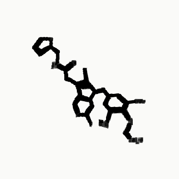 COc1cc(/C=C2/C(C)=C(CC(=O)NCc3ccco3)c3cnc(F)cc32)cc(OC)c1OCC(=O)O